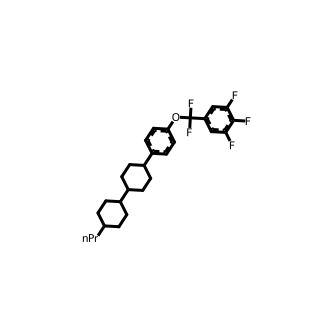 CCCC1CCC(C2CCC(c3ccc(OC(F)(F)c4cc(F)c(F)c(F)c4)cc3)CC2)CC1